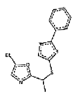 CCc1cnc(C(C)Sc2cnc(-c3cc[c]cc3)s2)o1